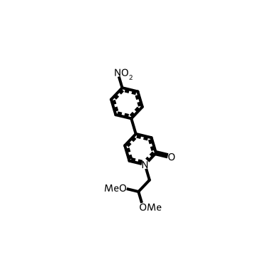 COC(Cn1ccc(-c2ccc([N+](=O)[O-])cc2)cc1=O)OC